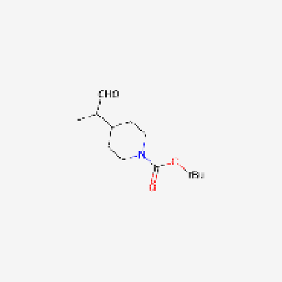 CC(C=O)C1CCN(C(=O)OC(C)(C)C)CC1